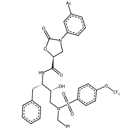 CC(=O)c1cccc(N2C[C@@H](C(=O)N[C@@H](Cc3ccccc3)[C@H](O)CN(CC(C)C)S(=O)(=O)c3ccc(OC(F)(F)F)cc3)OC2=O)c1